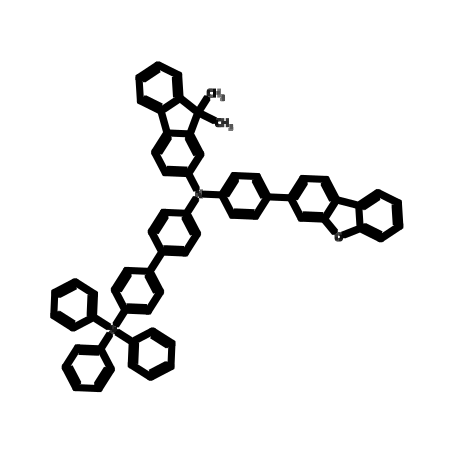 CC1(C)c2ccccc2-c2ccc(N(c3ccc(-c4ccc([Si](c5ccccc5)(c5ccccc5)c5ccccc5)cc4)cc3)c3ccc(-c4ccc5c(c4)oc4ccccc45)cc3)cc21